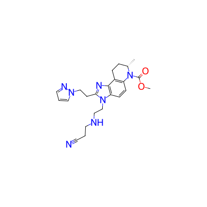 COC(=O)N1c2ccc3c(nc(CCn4cccn4)n3CCNCCC#N)c2CC[C@@H]1C